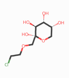 O[C@@H]1[C@H](O)CO[C@@](O)(COCCCl)[C@H]1O